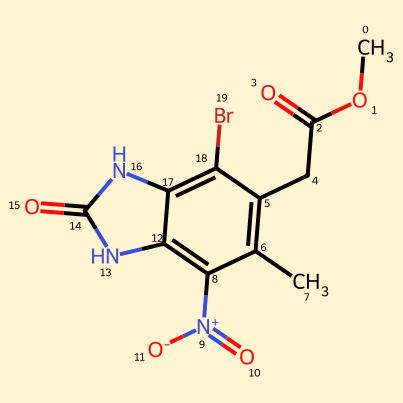 COC(=O)Cc1c(C)c([N+](=O)[O-])c2[nH]c(=O)[nH]c2c1Br